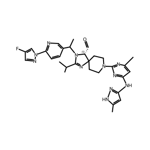 Cc1cc(Nc2cc(C)[nH]n2)nc(N2CCC3(CC2)N=C(C(C)C)N(C(C)c2ccc(-n4cc(F)cn4)nc2)[C@@H]3C=O)n1